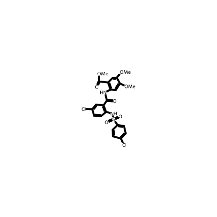 COC(=O)c1cc(OC)c(OC)cc1NC(=O)c1cc(Cl)ccc1NS(=O)(=O)c1ccc(Cl)cc1